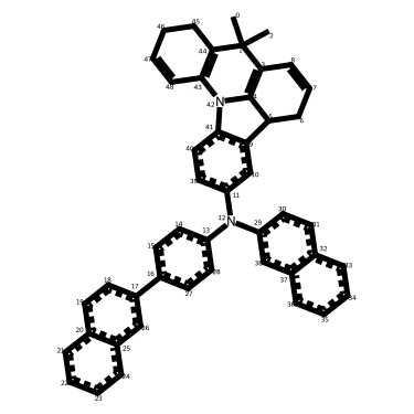 CC1(C)C2=C3C(CC=C2)c2cc(N(c4ccc(-c5ccc6ccccc6c5)cc4)c4ccc5ccccc5c4)ccc2N3C2=C1CCC=C2